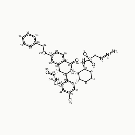 [N-]=[N+]=NCS(=O)(=O)N[C@H]1CCCC[C@@H]1N1C(=O)c2ccc(OCc3ccccc3)cc2[C@@H](C(=O)O)[C@@H]1c1ccc(Cl)cc1Cl